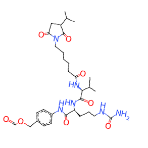 CC(C)C1CC(=O)N(CCCCCC(=O)N[C@H](C(=O)N[C@@H](CCCNC(N)=O)C(=O)Nc2ccc(COC=O)cc2)C(C)C)C1=O